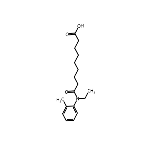 CCN(C(=O)CCCCCCCC(=O)O)c1ccccc1C